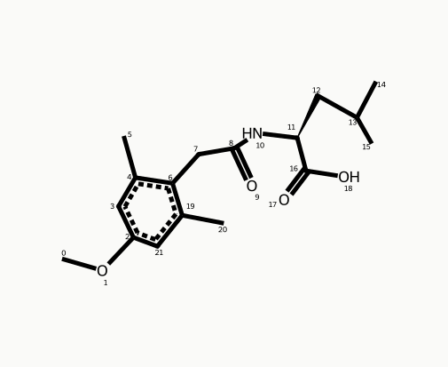 COc1cc(C)c(CC(=O)N[C@@H](CC(C)C)C(=O)O)c(C)c1